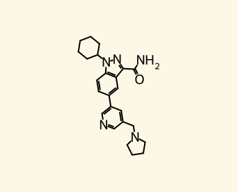 NC(=O)c1nn(C2CCCCC2)c2ccc(-c3cncc(CN4CCCC4)c3)cc12